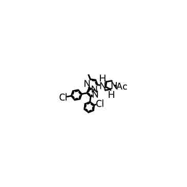 CC(=O)N1C[C@@H]2C[C@H]1CN2c1cc(C)nc2c(-c3ccc(Cl)cc3)c(-c3ccccc3Cl)nn12